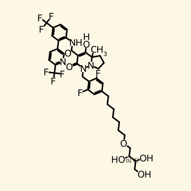 CC12CCCN1N(Cc1c(F)cc(CCCCCCCOC[C@H](O)[C@@H](O)CO)cc1F)C(=O)C(C(=O)Nc1ccc(C(F)(F)F)cc1-c1ccc(C(F)(F)F)nc1)=C2O